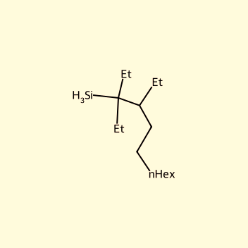 CCCCCCCCC(CC)C([SiH3])(CC)CC